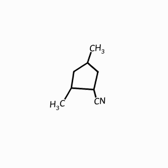 CC1CC(C)C(C#N)C1